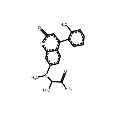 Cc1ccccc1-c1cc(=O)oc2cc(N(C)C(C)C(N)=O)ccc12